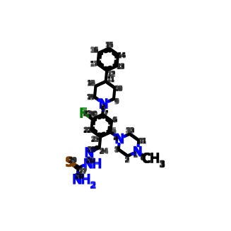 CN1CCN(c2cc(N3CCC(c4ccccc4)CC3)c(F)cc2C=NNC(N)=S)CC1